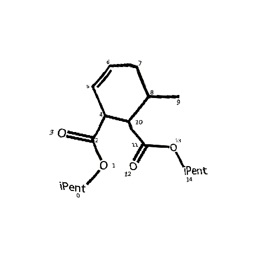 CCCC(C)OC(=O)C1C=CCC(C)C1C(=O)OC(C)CCC